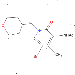 CC(=O)Nc1c(C)c(Br)cn(CC2CCOCC2)c1=O